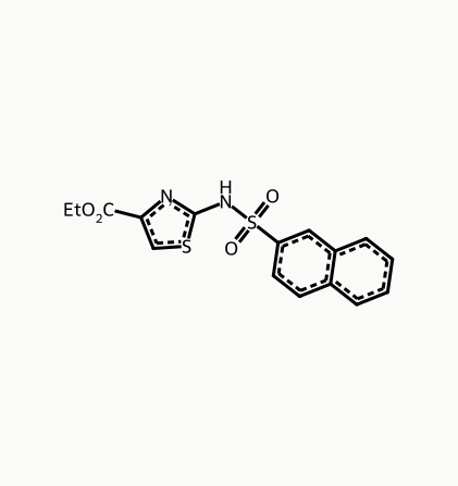 CCOC(=O)c1csc(NS(=O)(=O)c2ccc3ccccc3c2)n1